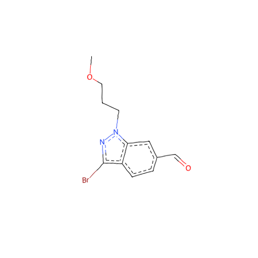 COCCCn1nc(Br)c2ccc(C=O)cc21